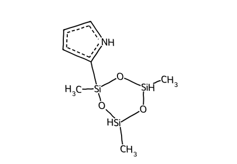 C[SiH]1O[SiH](C)O[Si](C)(c2ccc[nH]2)O1